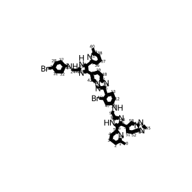 Cc1cccc(-c2[nH]c(CNc3ccc(-c4nc5ccc(-c6nc(CNc7ccc(Br)cc7)[nH]c6-c6cccc(C)n6)cn5n4)c(Br)c3)nc2-c2ccc3ncnn3c2)n1